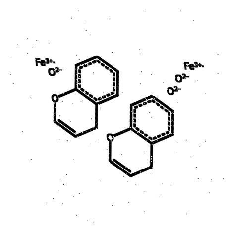 C1=COc2ccccc2C1.C1=COc2ccccc2C1.[Fe+3].[Fe+3].[O-2].[O-2].[O-2]